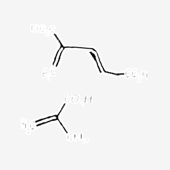 C=C(C)C(=O)O.C=C(C=CC(=O)O)C(=O)OCC